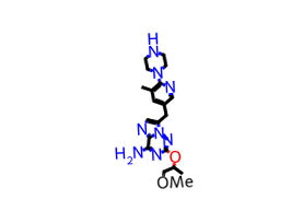 COCC(C)Oc1nc(N)c2ncc(Cc3cnc(N4CCNCC4)c(C)c3)n2n1